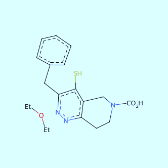 CCOCC.O=C(O)N1CCc2nnc(Cc3ccccc3)c(S)c2C1